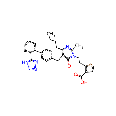 CCCCc1nc(C)n(CCc2sccc2C(=O)O)c(=O)c1Cc1ccc(-c2ccccc2-c2nnn[nH]2)cc1